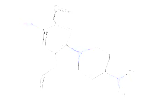 C=CCc1cc(N)c(OC)cc1N1CCC(N(C)C)CC1